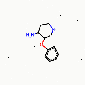 NC1CC[N]CC1Oc1ccccc1